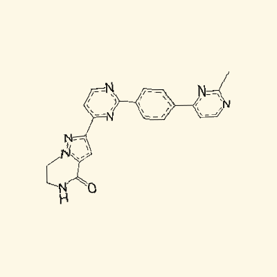 Cc1nccc(-c2ccc(-c3nccc(-c4cc5n(n4)CCNC5=O)n3)cc2)n1